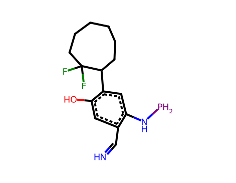 N=Cc1cc(O)c(C2CCCCCCC2(F)F)cc1NP